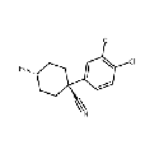 N#C[C@]1(c2ccc(Cl)c(Cl)c2)CC[C@@H](F)CC1